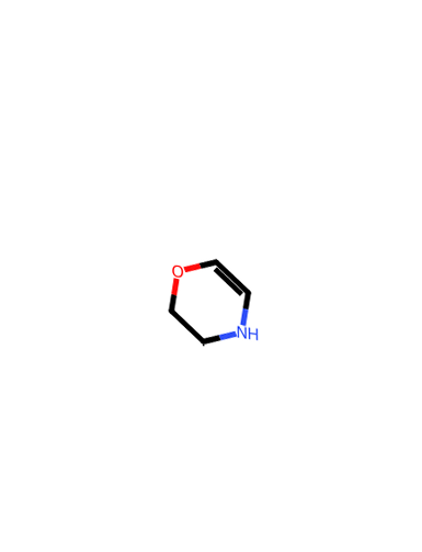 [CH]1COC=CN1